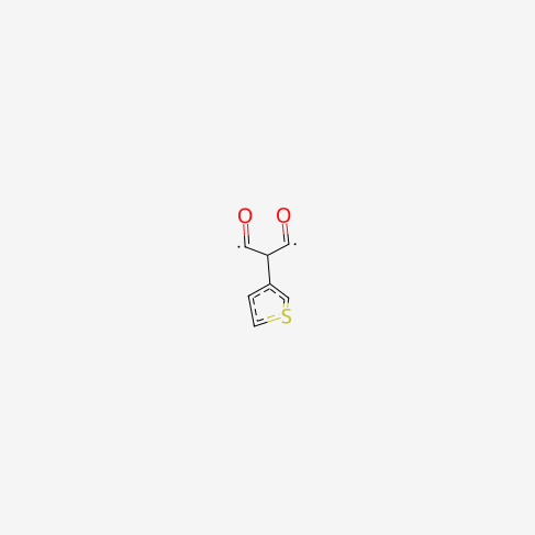 O=[C]C([C]=O)c1ccsc1